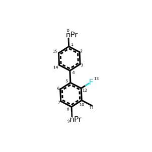 CCCc1ccc(-c2ccc(CCC)c(C)c2F)cc1